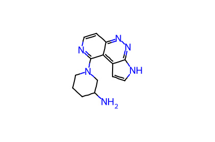 NC1CCCN(c2nccc3nnc4[nH]ccc4c23)C1